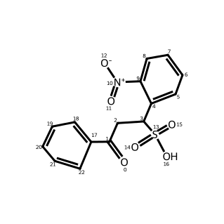 O=C(CC(c1ccccc1[N+](=O)[O-])S(=O)(=O)O)c1ccccc1